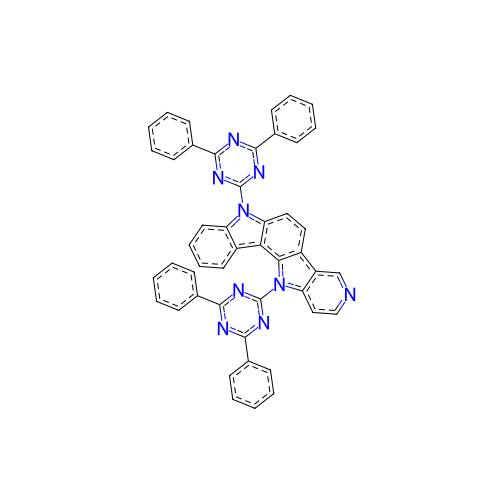 c1ccc(-c2nc(-c3ccccc3)nc(-n3c4ccccc4c4c3ccc3c5cnccc5n(-c5nc(-c6ccccc6)nc(-c6ccccc6)n5)c34)n2)cc1